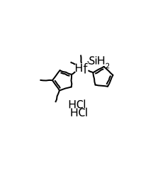 CC1=C(C)C[C]([Hf]([CH3])([CH3])(=[SiH2])[C]2=CC=CC2)=C1.Cl.Cl